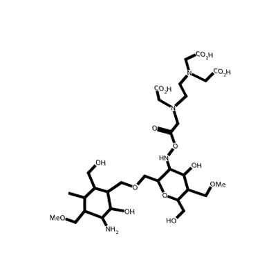 COCC1C(C)C(CO)C(COCC2OC(CO)C(COC)C(O)C2NOC(=O)CN(CCN(CC(=O)O)CC(=O)O)CC(=O)O)C(O)C1N